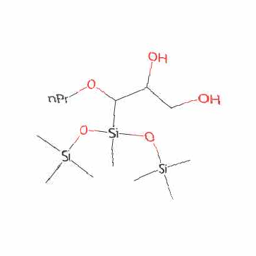 CCCOC(C(O)CO)[Si](C)(O[Si](C)(C)C)O[Si](C)(C)C